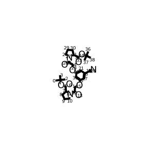 CC(C)(C)OC(=O)C1CCCN1C(=O)COc1cc(C#N)cc(OCC(=O)N2CCCC2C(=O)OC(C)(C)C)c1